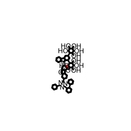 Oc1c(O)c(O)c(-c2cc(-c3c(O)c(O)c(O)c(O)c3O)c3c(c2)c2ccccc2n3-c2ccc3c(c2)oc2cc(-c4nc(-c5ccccc5)nc(-c5ccccc5-c5ccccc5)n4)ccc23)c(O)c1O